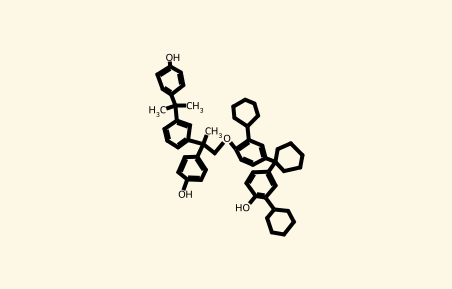 CC(C)(c1ccc(O)cc1)c1cccc(C(C)(COc2ccc(C3(c4ccc(O)c(C5CCCCC5)c4)CCCCC3)cc2C2CCCCC2)c2ccc(O)cc2)c1